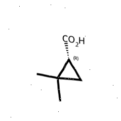 CC1(C)C[C@H]1C(=O)O